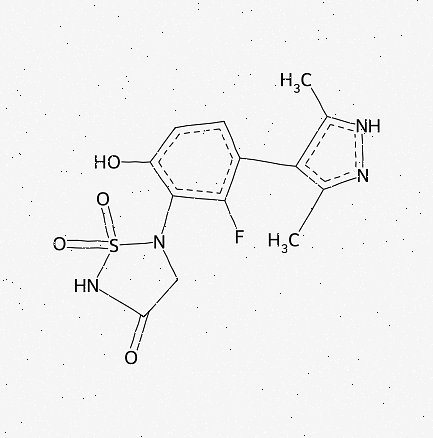 Cc1n[nH]c(C)c1-c1ccc(O)c(N2CC(=O)NS2(=O)=O)c1F